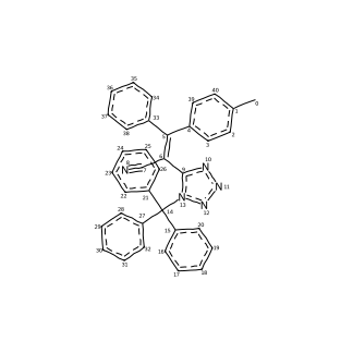 Cc1ccc(C(=C(C#N)c2nnnn2C(c2ccccc2)(c2ccccc2)c2ccccc2)c2ccccc2)cc1